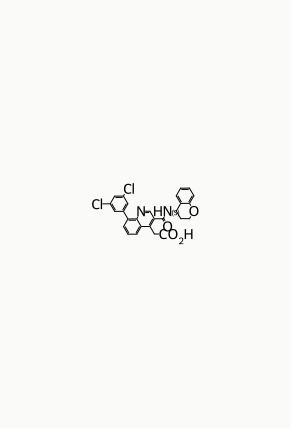 O=C(O)Cc1c(C(=O)N[C@H]2CCOc3ccccc32)cnc2c(-c3cc(Cl)cc(Cl)c3)cccc12